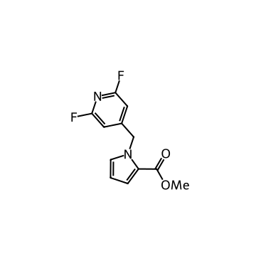 COC(=O)c1cccn1Cc1cc(F)nc(F)c1